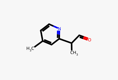 Cc1ccnc(C(C)C=O)c1